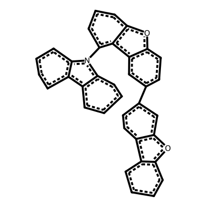 c1ccc2c(c1)oc1cc(-c3ccc4oc5cccc(-n6c7ccccc7c7ccccc76)c5c4c3)ccc12